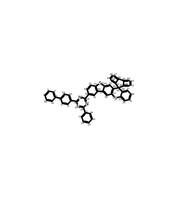 c1ccc(-c2ccc(-c3nc(-c4ccccc4)nc(-c4ccc5sc6cc7c(cc6c5c4)Sc4ccccc4C74c5ccccc5-c5ccccc54)n3)cc2)cc1